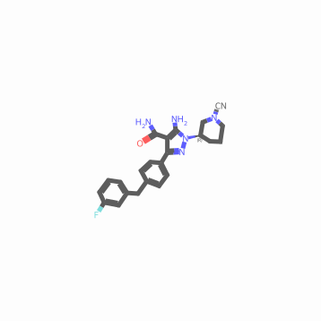 N#CN1CCC[C@@H](n2nc(-c3ccc(Cc4cccc(F)c4)cc3)c(C(N)=O)c2N)C1